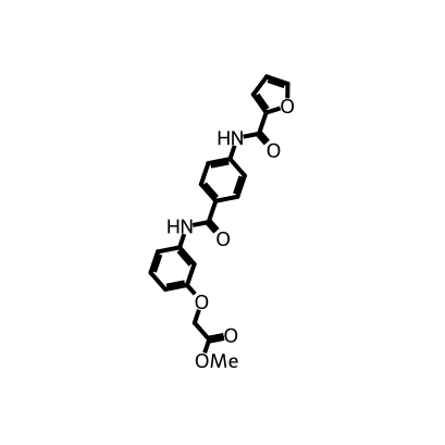 COC(=O)COc1cccc(NC(=O)c2ccc(NC(=O)c3ccco3)cc2)c1